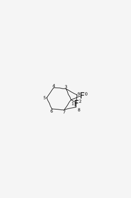 FC1(F)C2CCCC1CC2